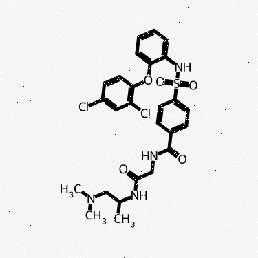 CC(CN(C)C)NC(=O)CNC(=O)c1ccc(S(=O)(=O)Nc2ccccc2Oc2ccc(Cl)cc2Cl)cc1